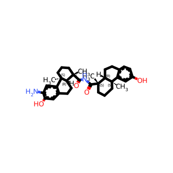 C[C@]1(C(=O)NC(=O)[C@@]2(C)CCC[C@]3(C)c4cc(N)c(O)cc4CC[C@@H]23)CCC[C@]2(C)c3cc(O)ccc3CC[C@@H]12